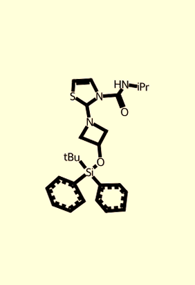 CC(C)NC(=O)N1C=CSC1N1CC(O[Si](c2ccccc2)(c2ccccc2)C(C)(C)C)C1